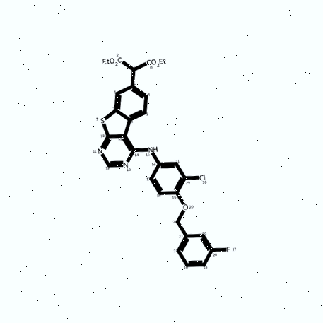 CCOC(=O)C(C(=O)OCC)c1ccc2c(c1)sc1ncnc(Nc3ccc(OCc4cccc(F)c4)c(Cl)c3)c12